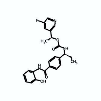 CC[C@H](NC(=O)O[C@@H](C)c1cncc(F)c1)c1ccc(C(=O)Nc2ccccc2O)cc1